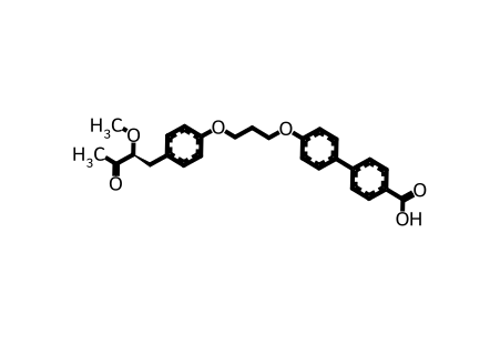 CO[C@@H](Cc1ccc(OCCCOc2ccc(-c3ccc(C(=O)O)cc3)cc2)cc1)C(C)=O